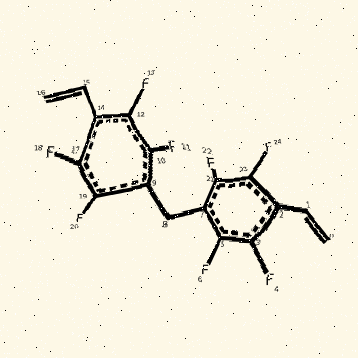 C=Cc1c(F)c(F)c(Cc2c(F)c(F)c(C=C)c(F)c2F)c(F)c1F